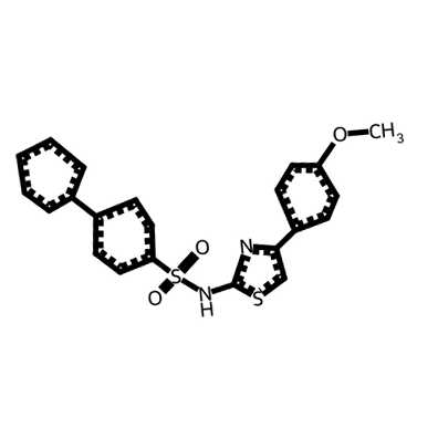 COc1ccc(-c2csc(NS(=O)(=O)c3ccc(-c4ccccc4)cc3)n2)cc1